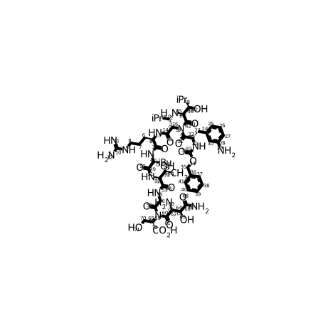 CCC(C)[C@H](NC(=O)[C@@H](CCCNC(=N)N)NC(=O)[C@H](CC(C)C)N(C(=O)[C@H](Cc1cccc(N)c1)NC(=O)OCc1ccccc1)C(=O)[C@@H](N)[C@H](O)C(C)C)C(=O)N[C@H](C(=O)NCC(=O)N(C(=O)[C@@H](N)[C@H](O)C(N)=O)[C@@H](CO)C(=O)O)[C@H](C)O